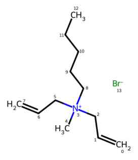 C=CC[N+](C)(CC=C)CCCCC.[Br-]